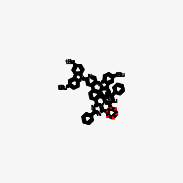 CC(C)(C)c1ccc2c(c1)c1cc(C(C)(C)C)ccc1n2-c1cc(-c2ccc(-c3nc(-c4ccccc4)nc(-c4ccccc4)n3)c(-c3nc(-c4ccccc4)nc(-c4ccccc4)n3)c2)c(-n2c3ccc(C(C)(C)C)cc3c3cc(C(C)(C)C)ccc32)cn1